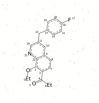 CCOc1c(C(=O)CC)ccc2cc(Cc3ccc(F)cc3)cnc12